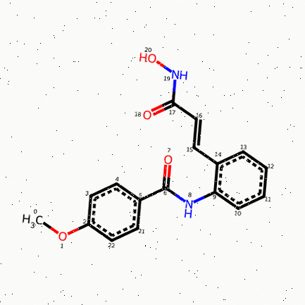 COc1ccc(C(=O)Nc2ccccc2/C=C/C(=O)NO)cc1